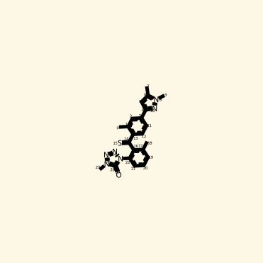 Cc1cc(-c2cc(C)n(C)n2)ccc1C(=S)c1c(C)cccc1-n1nnn(C)c1=O